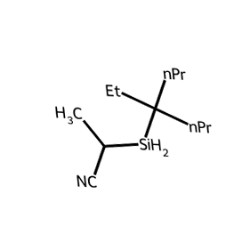 CCCC(CC)(CCC)[SiH2]C(C)C#N